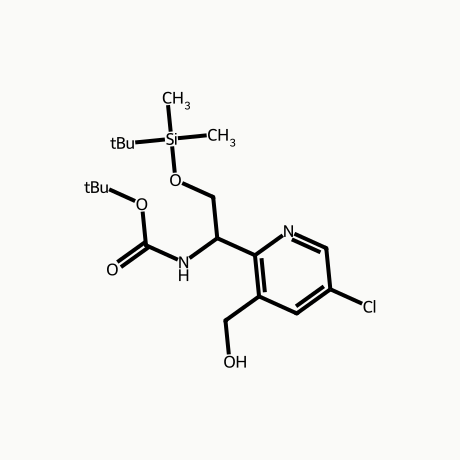 CC(C)(C)OC(=O)NC(CO[Si](C)(C)C(C)(C)C)c1ncc(Cl)cc1CO